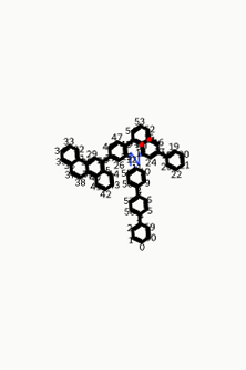 c1ccc(-c2ccc(-c3ccc(N(c4cccc(-c5ccccc5)c4)c4cc(-c5cc6c7ccccc7ccc6c6ccccc56)ccc4-c4ccccc4)cc3)cc2)cc1